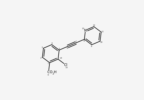 O=C(O)c1cccc(C#Cc2ccccn2)c1Cl